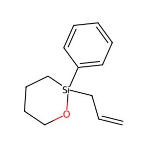 C=CC[Si]1(c2ccccc2)CCCCO1